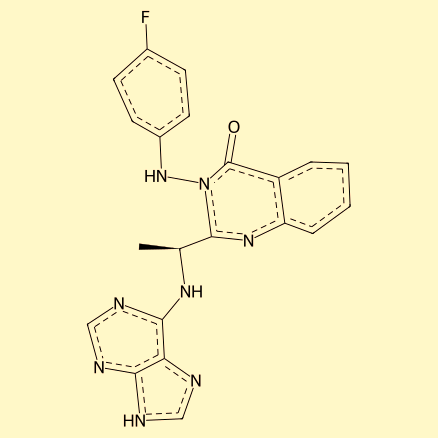 C[C@H](Nc1ncnc2[nH]cnc12)c1nc2ccccc2c(=O)n1Nc1ccc(F)cc1